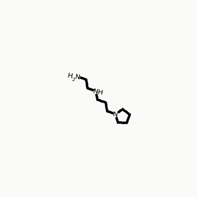 NCCNCCCN1CCCC1